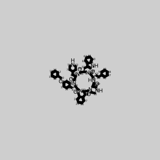 O=C1N[C@@H](Cc2ccc(OCc3ccccc3)cc2)C(=O)N2Cc3ccccc3C[C@H]2C(=O)N2CCNC[C@H]2C(=O)N[C@@H](CCc2ccccc2)C(=O)N[C@H](Cc2c[nH]c3ccccc23)C(=O)NC1CC1CCNCC1